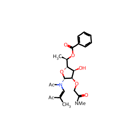 CNC(=O)CO[C@@H]1[C@H](O)[C@@H]([C@@H](C)OC(=O)c2ccccc2)O[C@H]1N(/C=C(/C)C(C)=O)C(C)=O